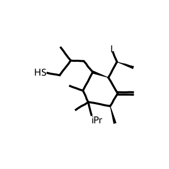 C=C1[C@@H](C)C(C)(C(C)C)C(C)C(CC(C)CS)[C@H]1[C@H](C)I